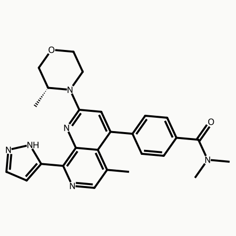 Cc1cnc(-c2ccn[nH]2)c2nc(N3CCOC[C@H]3C)cc(-c3ccc(C(=O)N(C)C)cc3)c12